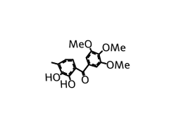 COc1cc(C(=O)c2ccc(C)c(O)c2O)cc(OC)c1OC